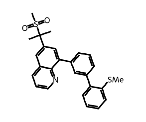 CSc1ccccc1-c1cccc(-c2cc(C(C)(C)S(C)(=O)=O)cc3cccnc23)c1